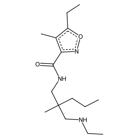 CCCC(C)(CNCC)CNC(=O)c1noc(CC)c1C